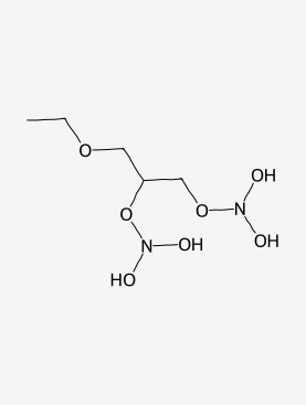 CCOCC(CON(O)O)ON(O)O